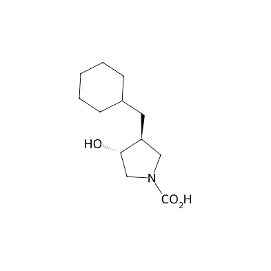 O=C(O)N1C[C@H](CC2CCCCC2)[C@@H](O)C1